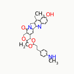 C=C1OCc2c(cc3n(c2=O)Cc2c-3nc3ccc(O)cc3c2CC)C1OC(=O)CCc1ccc(NC)cc1